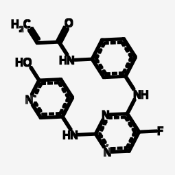 C=CC(=O)Nc1cccc(Nc2nc(Nc3ccc(O)nc3)ncc2F)c1